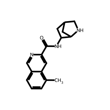 Cc1cccc2cnc(C(=O)NC3CC4CNC3C4)cc12